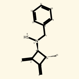 C=C1C(=C)[C@@H](N(S)Cc2ccccc2)[C@@H]1C